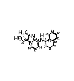 Cc1nc2c(NC3CCCc4ccccc43)cccn2c1CO